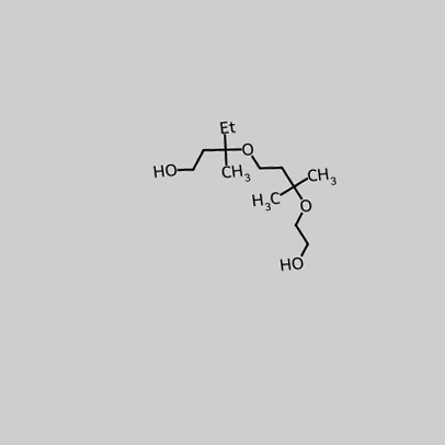 CCC(C)(CCO)OCCC(C)(C)OCCO